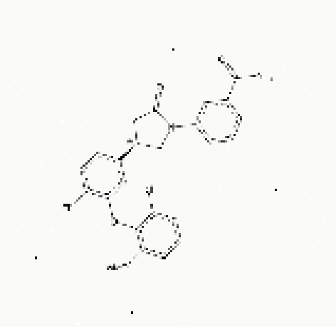 COc1cccc(Cl)c1Oc1cc([C@H]2CC(=O)N(c3cccc(C(N)=O)c3)C2)ccc1Cl